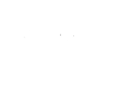 CCCCCCCCCCCCCC(CC)C(=O)CC.Cc1ccccc1